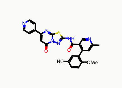 COc1ccc(C#N)cc1-c1cc(C)ncc1C(=O)Nc1nn2c(=O)cc(-c3ccncc3)nc2s1